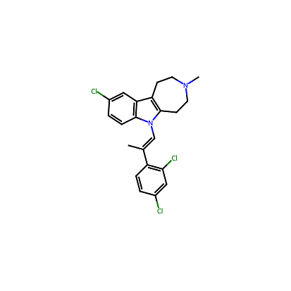 C/C(=C\n1c2c(c3cc(Cl)ccc31)CCN(C)CC2)c1ccc(Cl)cc1Cl